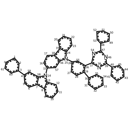 c1ccc(-c2ccc3c4ccccc4n(-c4ccc5c6ccccc6n(-c6ccc(-c7ccccc7)c(-c7nc(-c8ccccc8)nc(-c8ccccc8)n7)c6)c5c4)c3c2)cc1